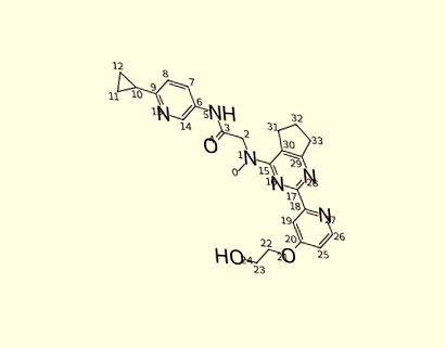 CN(CC(=O)Nc1ccc(C2CC2)nc1)c1nc(-c2cc(OCCO)ccn2)nc2c1CCC2